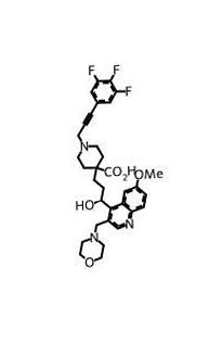 COc1ccc2ncc(CN3CCOCC3)c([C@@H](O)CCC3(C(=O)O)CCN(CC#Cc4cc(F)c(F)c(F)c4)CC3)c2c1